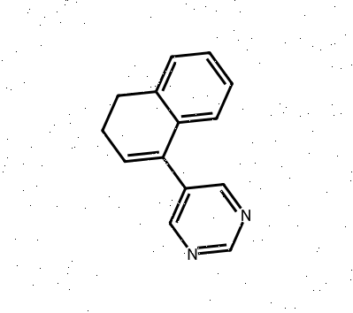 C1=C(c2cncnc2)c2ccccc2CC1